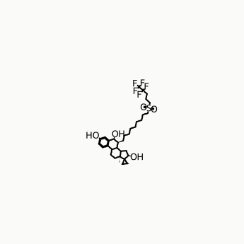 C[C@]12CCC3c4ccc(O)cc4[C@@H](O)[C@@H](CCCCCCCCCS(=O)(=O)CCCC(F)(F)C(F)(F)F)C3C1C[C@@H](O)C21CC1